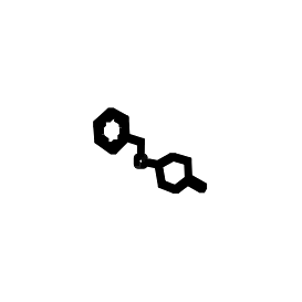 C=C1CCC(OCc2ccccc2)CC1